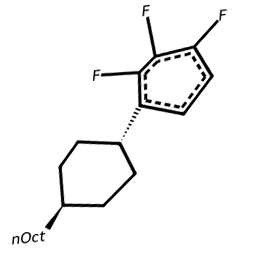 CCCCCCCC[C@H]1CC[C@H](c2ccc(F)c(F)c2F)CC1